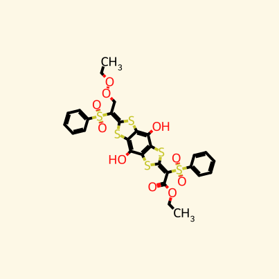 CCOOCC(=C1Sc2c(O)c3c(c(O)c2S1)SC(=C(C(=O)OCC)S(=O)(=O)c1ccccc1)S3)S(=O)(=O)c1ccccc1